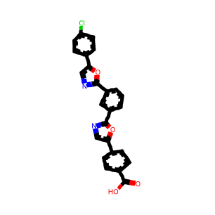 O=C(O)c1ccc(-c2cnc(-c3cccc(-c4ncc(-c5ccc(Cl)cc5)o4)c3)o2)cc1